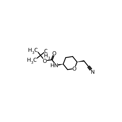 CC(C)(C)OC(=O)N[C@H]1CC[C@@H](CC#N)OC1